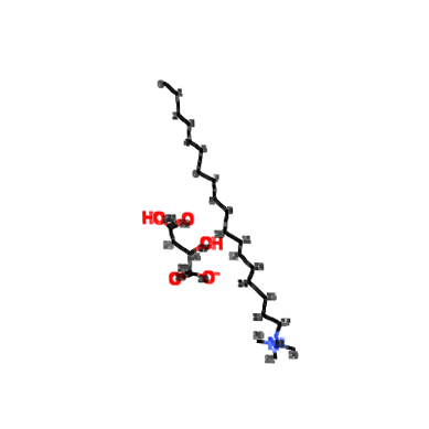 CCCCCCCCCCCCCCCCCC[N+](C)(C)C.O=C(O)CC(O)C(=O)[O-]